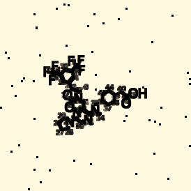 C[C@H]1C(c2cc(C(F)(F)F)cc(C(F)(F)F)c2)OC(=O)N1Cc1nc(N2CCCC2)cnc1N(C)C[C@H]1CC[C@H](CC(=O)O)CC1